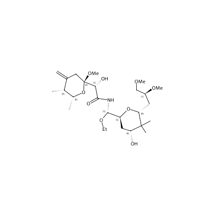 C=C1C[C@](OC)([C@H](O)C(=O)N[C@@H](OCC)[C@@H]2C[C@@H](O)C(C)(C)[C@@H](C[C@@H](COC)OC)O2)O[C@H](C)[C@@H]1C